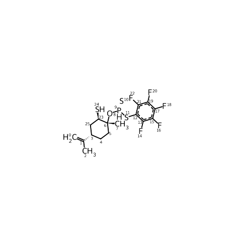 C=C(C)[C@H]1CC[C@@](C)(O[PH](=S)Sc2c(F)c(F)c(F)c(F)c2F)[C@H](S)C1